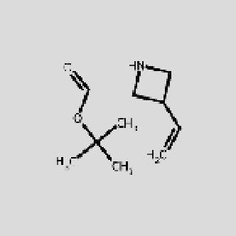 C=CC1CNC1.CC(C)(C)OC=O